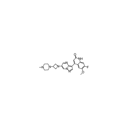 COc1cc2c(-c3cnn4cc(N5CC(N6CCN(C)CC6)C5)cnc34)cc(=O)[nH]c2cc1F